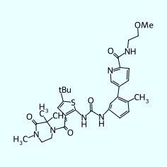 COCCNC(=O)c1ccc(-c2cc(NC(=O)Nc3sc(C(C)(C)C)cc3C(=O)N3CCN(C)C(=O)C3(C)C)ccc2C)cn1